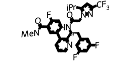 CNC(=O)c1cc(-c2cccnc2[C@H](Cc2cc(F)cc(F)c2)NC(=O)Cn2nc(C(F)(F)F)cc2C(C)C)ccc1F